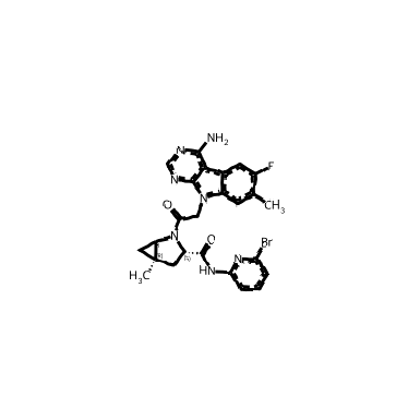 Cc1cc2c(cc1F)c1c(N)ncnc1n2CC(=O)N1C2C[C@]2(C)C[C@H]1C(=O)Nc1cccc(Br)n1